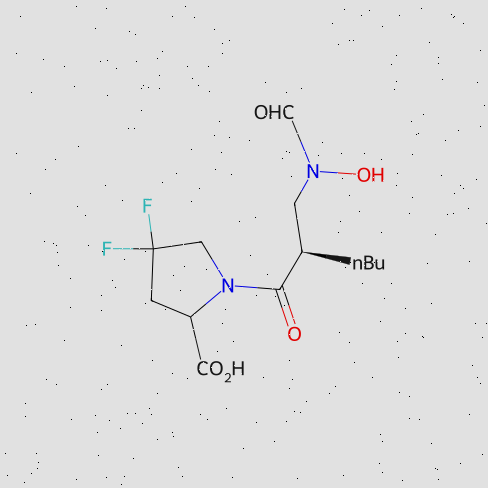 CCCC[C@H](CN(O)C=O)C(=O)N1CC(F)(F)CC1C(=O)O